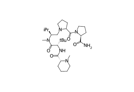 CC(C)[C@@H](CN1CCCC1C(=O)N1CCC[C@H]1C(N)=O)N(C)C(=O)[C@@H](NC(=O)[C@H]1CCCCN1C)C(C)(C)C